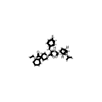 CCOC(=O)C1(C2CCCCC2)CCN(C(=O)[C@@H](Cc2ccc(F)cc2)NC(=O)[C@@H]2C[C@@H]3C[C@H]2N(C(C)C)C3)CC1